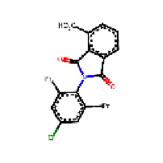 CC(C)c1cc(Cl)cc(C(C)C)c1N1C(=O)c2cccc(C(=O)O)c2C1=O